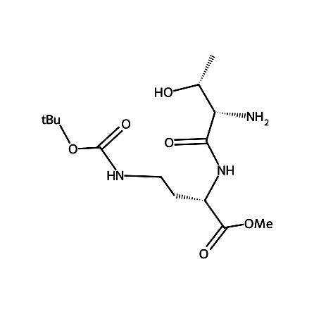 COC(=O)[C@H](CCNC(=O)OC(C)(C)C)NC(=O)[C@@H](N)[C@@H](C)O